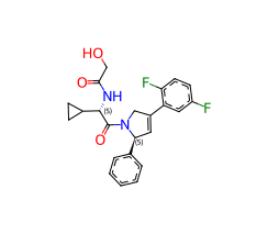 O=C(CO)N[C@H](C(=O)N1CC(c2cc(F)ccc2F)=C[C@H]1c1ccccc1)C1CC1